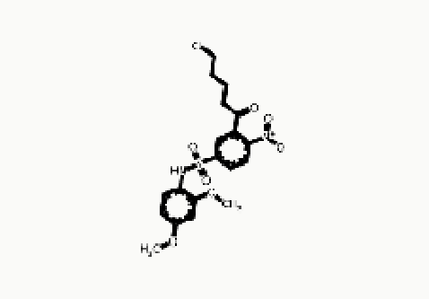 COc1ccc(NS(=O)(=O)c2ccc([N+](=O)[O-])c(C(=O)CCCCCl)c2)c(OC)c1